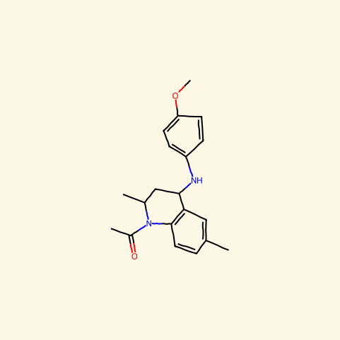 COc1ccc(NC2CC(C)N(C(C)=O)c3ccc(C)cc32)cc1